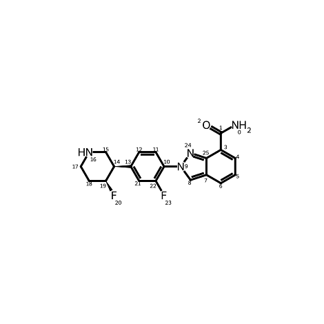 NC(=O)c1cccc2cn(-c3ccc([C@@H]4CNCC[C@@H]4F)cc3F)nc12